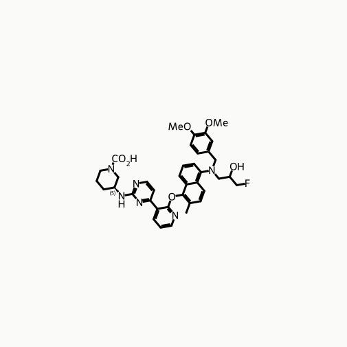 COc1ccc(CN(CC(O)CF)c2cccc3c(Oc4ncccc4-c4ccnc(N[C@H]5CCCN(C(=O)O)C5)n4)c(C)ccc23)cc1OC